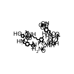 CC(=O)N1CC[C@H]2CC[C@@H](C(=O)N[C@@H](CCC(N)=O)COc3cc(C)cc(CCCCC(=O)N[C@H](C(=O)N4C[C@H](O)C[C@H]4C(=O)N[C@@H](C)c4ccc(-c5scnc5C)cc4)C(C)(C)C)c3F)N2C(=O)[C@@H](NC(=O)c2cc3cc(C(=O)P(=O)(O)O)ccc3[nH]2)C1